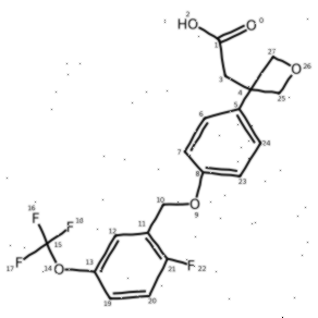 O=C(O)CC1(c2ccc(OCc3cc(OC(F)(F)F)ccc3F)cc2)COC1